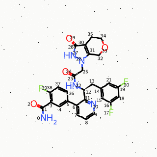 NC(=O)c1cc(-c2cccnc2[C@H](Cc2cc(F)cc(F)c2)NC(=O)Cn2[nH]c(=O)c3c2COCC3)ccc1F